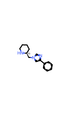 c1ccc(-c2cn(C[C@@H]3CCCCN3)cn2)cc1